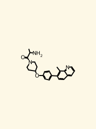 Cc1c(-c2ccc(OC3CCN(C(=O)C(C)N)CC3)cc2)ccc2cccnc12